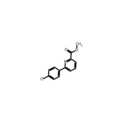 COC(=O)c1cccc(-c2ccc(Cl)cc2)n1